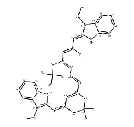 CCN1/C(=C/C(C)=C/C(=CC=CC2=CC(=Cc3sc4ccccc4[n+]3CC)CC(C)(C)C2)CC(C)(C)C)Sc2ccccc21